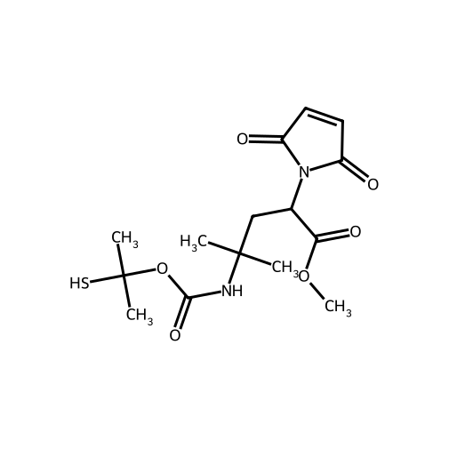 COC(=O)C(CC(C)(C)NC(=O)OC(C)(C)S)N1C(=O)C=CC1=O